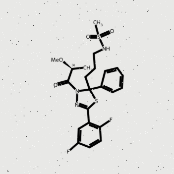 CO[C@@H](C)C(=O)N1N=C(c2cc(F)ccc2F)SC1(CCCNS(C)(=O)=O)c1ccccc1